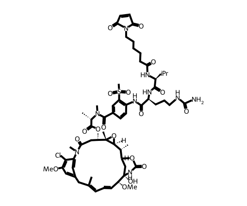 COc1cc2cc(c1Cl)N(C)C(=O)C[C@H](OC(=O)[C@H](C)N(C)C(=O)c1ccc(NC(=O)[C@H](CCCNC(N)=O)NC(=O)[C@@H](NC(=O)CCCCCN3C(=O)C=CC3=O)C(C)C)c(S(C)(=O)=O)c1)[C@]1(C)O[C@H]1[C@H](C)[C@@H]1C[C@@](O)(NC(=O)O1)[C@H](OC)/C=C/C=C(\C)C2